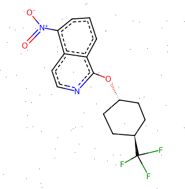 O=[N+]([O-])c1cccc2c(O[C@H]3CC[C@H](C(F)(F)F)CC3)nccc12